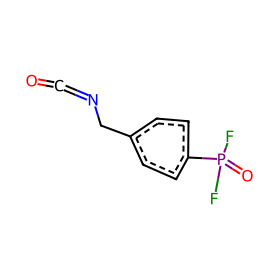 O=C=NCc1ccc(P(=O)(F)F)cc1